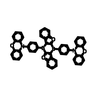 c1ccc2c(c1)Oc1ccccc1N2c1ccc(B2c3oc4ccccc4c3B(c3ccc(N4c5ccccc5Oc5ccccc54)cc3)c3oc4ccccc4c32)cc1